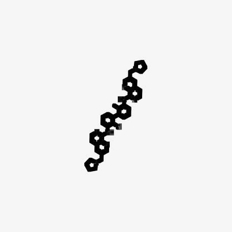 Cc1c(Nc2nccc3cc(CN4CCCC4)cnc23)cccc1-c1cccc(Nc2nccc3cc(CN4CCCC4)cnc23)c1Cl